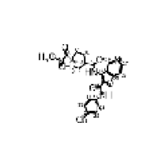 CN(C)C(=O)[C@H]1CC[C@H](C(=O)Nc2c(C(=O)Nc3ccc(Cl)cn3)oc3ccncc23)CC1